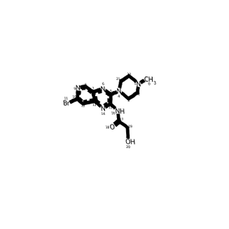 CN1CCN(c2nc3cnc(Br)cc3nc2NC(=O)CO)CC1